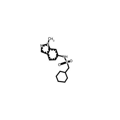 Cn1ncc2ccc(NS(=O)(=O)CC3CCCCC3)cc21